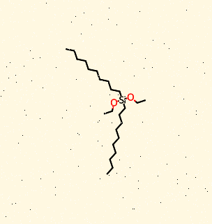 CCCCCCCCCC[Si](CCCCCCCCCC)(OCC)OCC